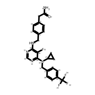 NC(=O)Cc1ccc(CNc2ncnc(N(Cc3ccc(C(F)(F)F)cc3)C3CC3)c2F)cc1